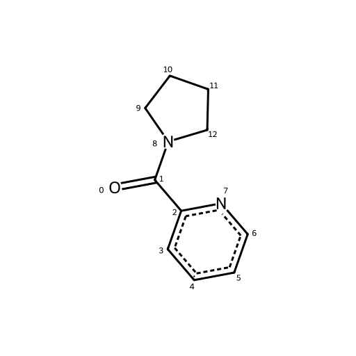 O=C(c1c[c]ccn1)N1CCCC1